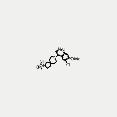 COc1cc2nncc(N3CCC4(CC3)CCN(S(C)(=N)=O)C4)c2cc1Cl